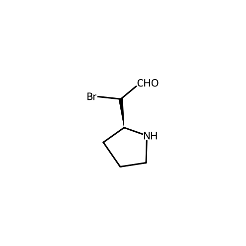 O=CC(Br)[C@@H]1CCCN1